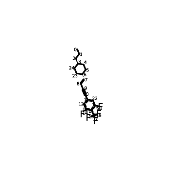 CCC[C@H]1CC[C@H](C=CC#Cc2cc(F)c(C(F)(F)F)c(F)c2)CC1